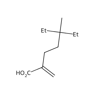 C=C(CCC(C)(CC)CC)C(=O)O